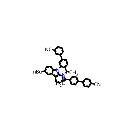 C=C(/N=C(\C)c1ccc(-c2cccc(C#N)c2)cc1-n1c2ccccc2c2cc(CCCC)ccc21)c1ccc(-c2ccc(C#N)cc2)cc1